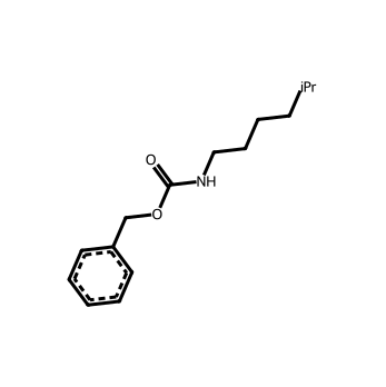 CC(C)CCCCNC(=O)OCc1ccccc1